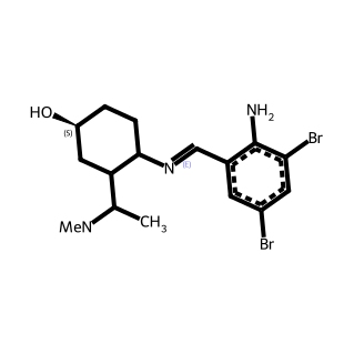 CNC(C)C1C[C@@H](O)CCC1/N=C/c1cc(Br)cc(Br)c1N